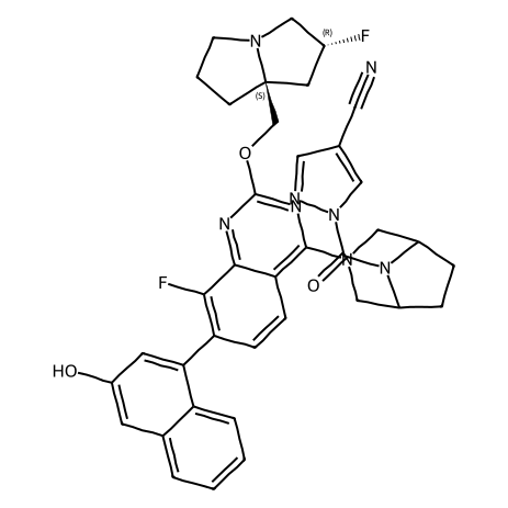 N#Cc1cnn(C(=O)N2C3CCC2CN(c2nc(OC[C@@]45CCCN4C[C@H](F)C5)nc4c(F)c(-c5cc(O)cc6ccccc56)ccc24)C3)c1